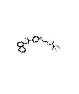 C=C(C)C(=O)OCCOc1ccc(C(=O)Oc2cccc3ccccc23)cc1